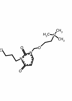 C[Si](C)(C)CCOCn1ccc(=O)n(CCCCl)c1=O